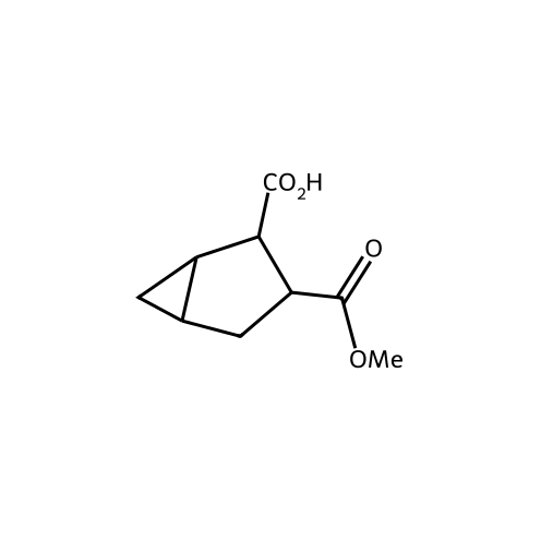 COC(=O)C1CC2CC2C1C(=O)O